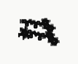 O=C(CCCC(=O)Oc1c(F)c(F)c(F)c(F)c1F)OCc1cccc2c1Cc1ccccc1-2.O=C(O)CCCC(=O)OCc1cccc2c1Cc1ccccc1-2